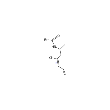 C=C/C=C(/Cl)CC(C)NC(=O)C(C)C